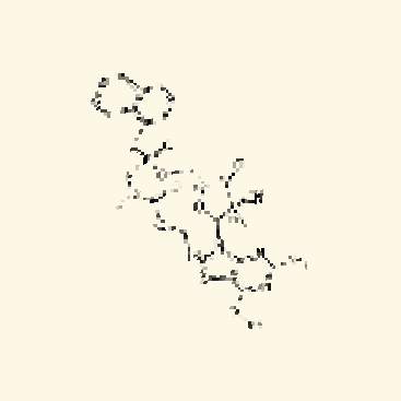 CCOc1nc(N)nc2c1ncn2C1O[C@H](COP(=O)(N[C@@H](C)C(=O)OCC(C)(C)C)Oc2cccc3ccccc23)[C@@H](O)[C@@]1(C)C#N